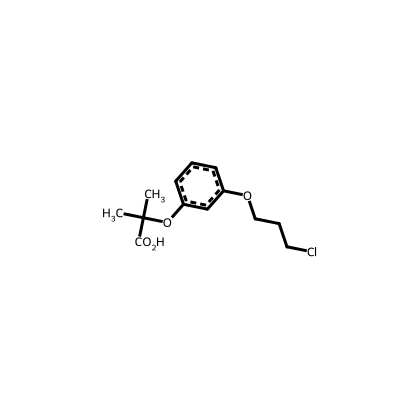 CC(C)(Oc1cccc(OCCCCl)c1)C(=O)O